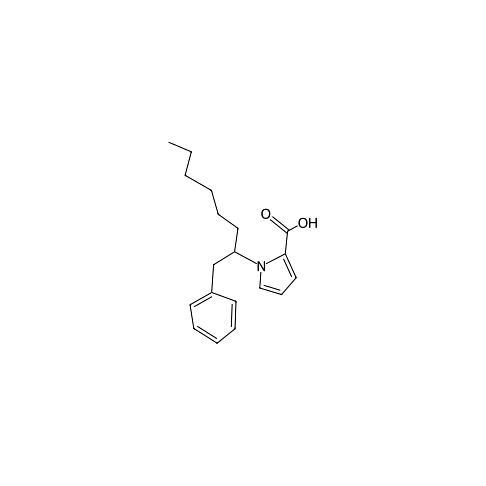 CCCCCCC(Cc1ccccc1)n1cccc1C(=O)O